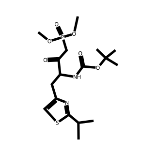 COP(=O)(CC(=O)C(Cc1csc(C(C)C)n1)NC(=O)OC(C)(C)C)OC